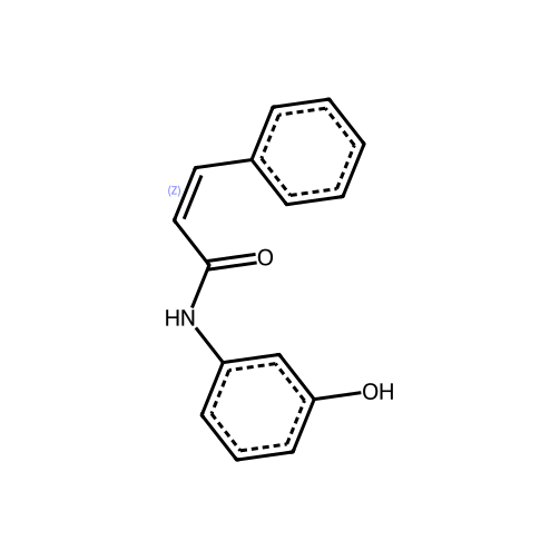 O=C(/C=C\c1ccccc1)Nc1cccc(O)c1